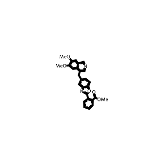 COC(=O)c1ccccc1-c1nc2cc(Cc3cncc4cc(OC)c(OC)cc34)ccc2o1